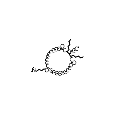 C=C=C=C=C1C(CCCCC)CC(=O)OCCCCCCCCC(OCCCCN(C)C)CCCCCCCCOC(=O)CC1CCCCC